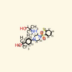 CC(C)(CO)NC[C@@H]1CN(S(=O)(=O)C2=CC=CCC2=S)CCN1c1ccc([C@@](C)(O)C(F)(F)F)cc1